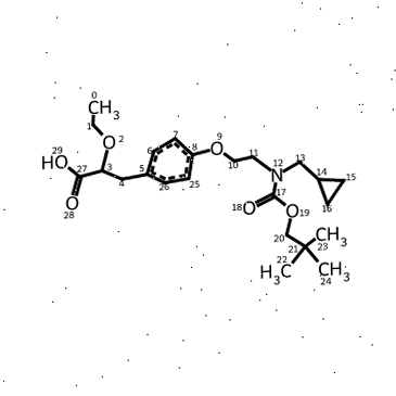 CCOC(Cc1ccc(OCCN(CC2CC2)C(=O)OCC(C)(C)C)cc1)C(=O)O